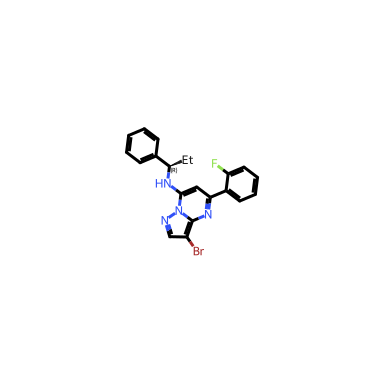 CC[C@@H](Nc1cc(-c2ccccc2F)nc2c(Br)cnn12)c1ccccc1